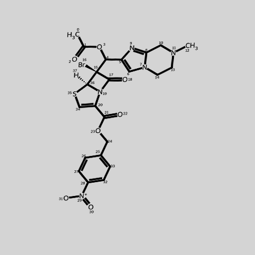 CC(=O)OC(c1cn2c(n1)CN(C)CC2)[C@]1(Br)C(=O)N2C(C(=O)OCc3ccc([N+](=O)[O-])cc3)=CS[C@H]21